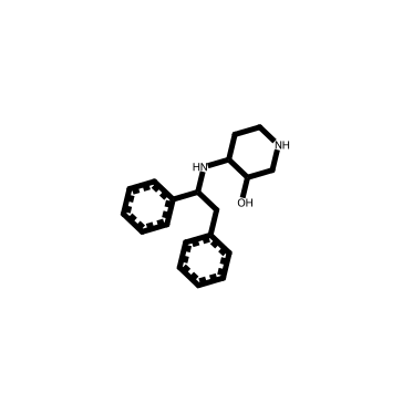 OC1CNCCC1NC(Cc1ccccc1)c1ccccc1